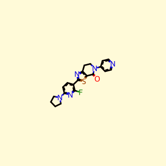 O=C1c2sc(-c3ccc(N4CCCC4)nc3F)nc2CCN1c1ccncc1